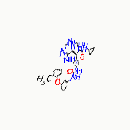 Cc1ccccc1Oc1cccc(NC(=O)Nc2ccc(-c3c(C(=O)NC4CC4)cn4ncnc(N)c34)cc2)c1